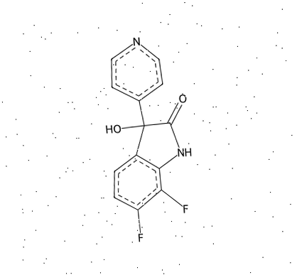 O=C1Nc2c(ccc(F)c2F)C1(O)c1ccncc1